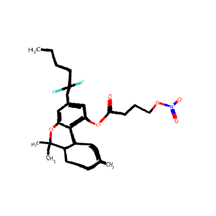 CCCCC(F)(F)c1cc(OC(=O)CCCO[N+](=O)[O-])c2c(c1)OC(C)(C)C1CCC(C)=CC21